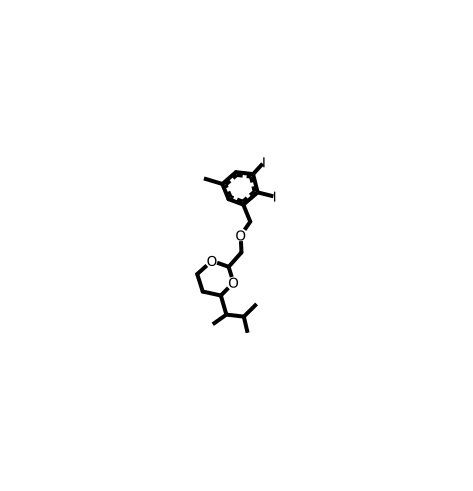 Cc1cc(I)c(I)c(COCC2OCCC(C(C)C(C)C)O2)c1